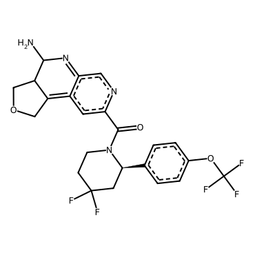 NC1N=c2cnc(C(=O)N3CCC(F)(F)C[C@@H]3c3ccc(OC(F)(F)F)cc3)cc2=C2COCC21